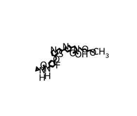 COCCOCCN(Cc1ccc(-c2cc3nccc(Oc4ccc(NC(=O)NC5CC5)cc4F)c3s2)nc1)C(=O)O